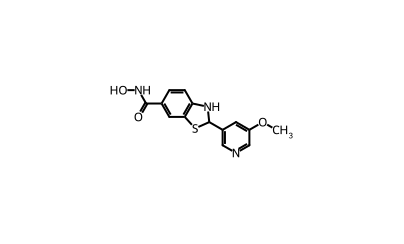 COc1cncc(C2Nc3ccc(C(=O)NO)cc3S2)c1